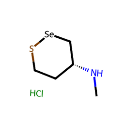 CN[C@@H]1CCS[Se]C1.Cl